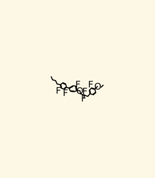 CCCCc1ccc(-c2ccc(OCC(F)(F)Cc3ccc(OCC)c(F)c3)c(F)c2)c(F)c1F